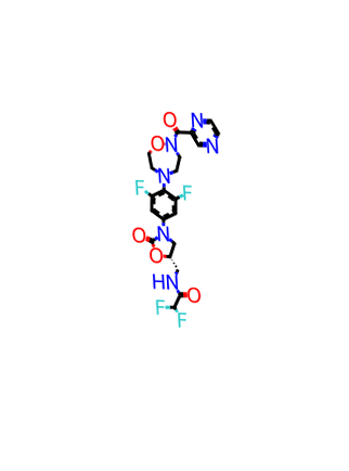 O=C(NC[C@H]1CN(c2cc(F)c(N3CCON(C(=O)c4cnccn4)CC3)c(F)c2)C(=O)O1)C(F)F